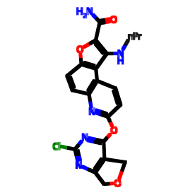 CCCNc1c(C(N)=O)oc2ccc3nc(Oc4nc(Cl)nc5c4COC5)ccc3c12